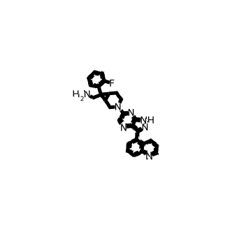 NCC1(c2ccccc2F)C2CCN(c3cnc4c(-c5cccc6ncccc56)n[nH]c4n3)CC21